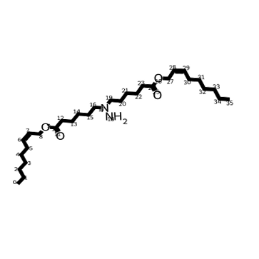 CCCCCC/C=C\COC(=O)CCCCCN(N)CCCCCC(=O)OC/C=C\CCCCCC